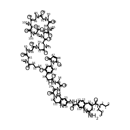 CCCN(CCC)C(=O)C1=Cc2ccc(C(=O)Nc3cnc4c(c3)CN(C(=O)[C@@H](C)NC(=O)[C@H](C)NC(=O)CCc3ccc(N5C(=O)C=CC5=O)cc3OCCCC(=O)N(C)CC(=O)N(C)CC(=O)N(C)CC(=O)N(C)CC(=O)N(C)CC(=O)N(C)CC(=O)N(C)CC(=O)N(C)CC(=O)N(C)CC(=O)N(C)CC(=O)O)CC4)cc2N=C(N)C1